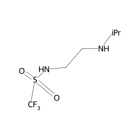 CC(C)NCCNS(=O)(=O)C(F)(F)F